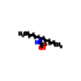 CCCCCCN(CCCCCC)NC(=O)O